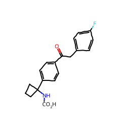 O=C(O)NC1(c2ccc(C(=O)Cc3ccc(F)cc3)cc2)CCC1